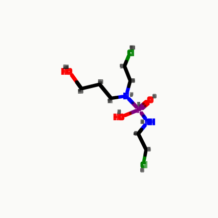 O=P(O)(NCCCl)N(CCCl)CCCO